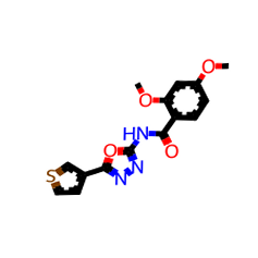 COc1ccc(C(=O)Nc2nnc(-c3ccsc3)o2)c(OC)c1